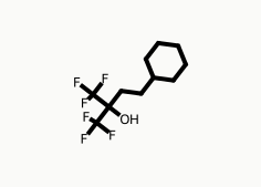 OC(CCC1CCCCC1)(C(F)(F)F)C(F)(F)F